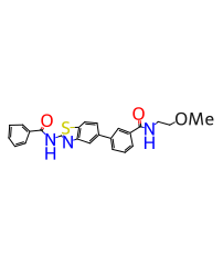 COCCNC(=O)c1cccc(-c2ccc3sc(NC(=O)c4ccccc4)nc3c2)c1